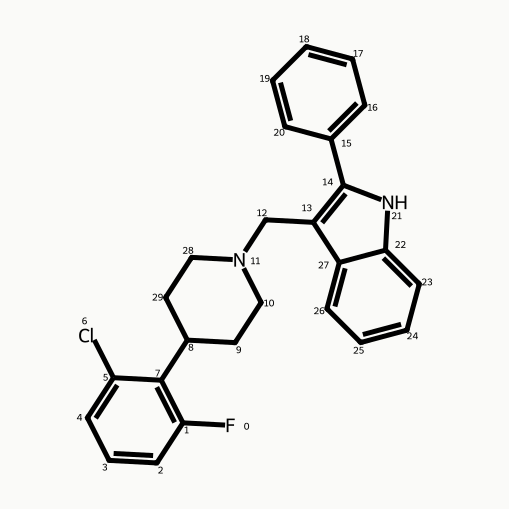 Fc1cccc(Cl)c1C1CCN(Cc2c(-c3ccccc3)[nH]c3ccccc23)CC1